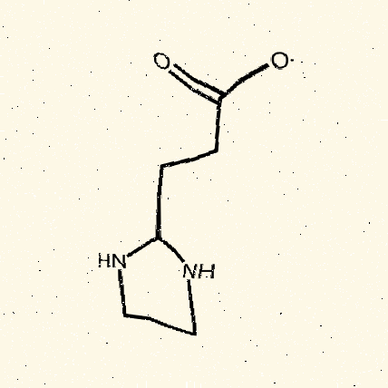 [O]C(=O)CCC1NCCN1